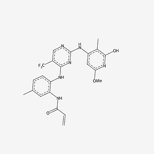 C=CC(=O)Nc1cc(C)ccc1Nc1nc(Nc2cc(OC)nc(O)c2C)ncc1C(F)(F)F